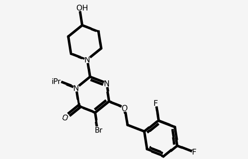 CC(C)n1c(N2CCC(O)CC2)nc(OCc2ccc(F)cc2F)c(Br)c1=O